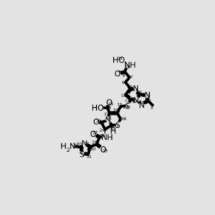 Cc1nc2nc(CCC(=O)NO)cc(SCC3=C(C(=O)O)N4C(=O)[C@@H](NC(=O)C(=O)c5csc(N)n5)[C@H]4SC3)n2n1